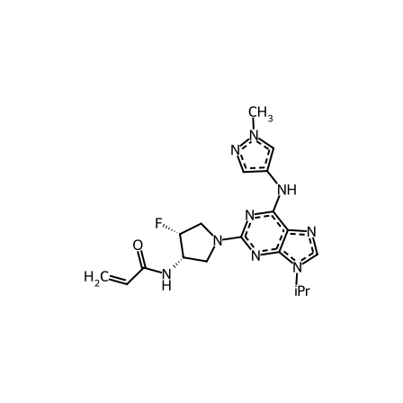 C=CC(=O)N[C@H]1CN(c2nc(Nc3cnn(C)c3)c3ncn(C(C)C)c3n2)C[C@H]1F